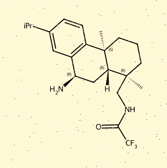 CC(C)c1ccc2c(c1)[C@H](N)C[C@H]1[C@](C)(CNC(=O)C(F)(F)F)CCC[C@]21C